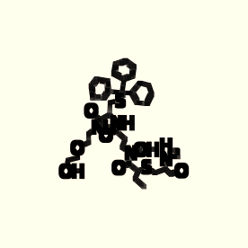 CCC(SCC(N)C=O)C(=O)N(O)CCC(=O)NC(CSC(C1=CC=CCC1)(c1ccccc1)c1ccccc1)C(=O)NCCOCCO